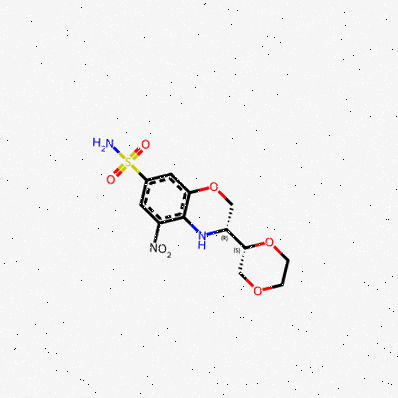 NS(=O)(=O)c1cc2c(c([N+](=O)[O-])c1)N[C@@H]([C@H]1COCCO1)CO2